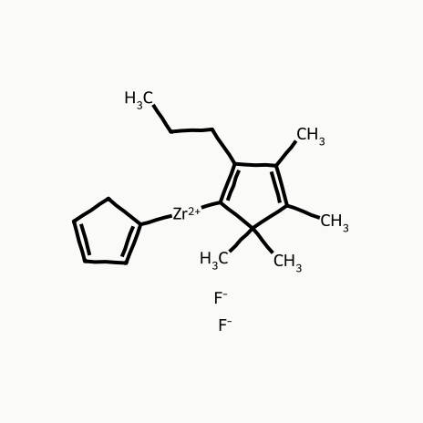 CCCC1=[C]([Zr+2][C]2=CC=CC2)C(C)(C)C(C)=C1C.[F-].[F-]